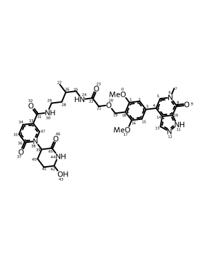 COc1cc(-c2cn(C)c(=O)c3[nH]ncc23)cc(OC)c1COCC(=O)NCC(C)CCNC(=O)c1ccc(=O)n(C2CCC(O)NC2=O)c1